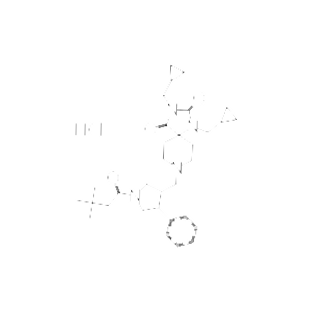 CC(C)(C)CC(=O)N1CC(CN2CCC3(CC2)C(=O)N(CC2CC2)C(=O)N3CC2CC2)C(c2ccccc2)C1.Cl